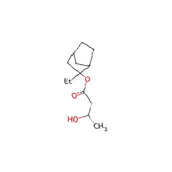 CCC1(OC(=O)CC(C)O)CC2CCC1C2